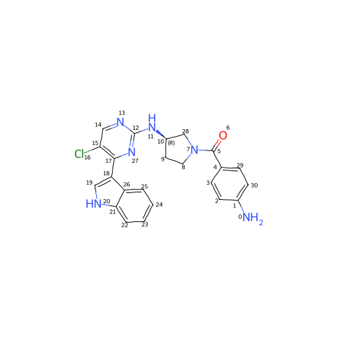 Nc1ccc(C(=O)N2CC[C@@H](Nc3ncc(Cl)c(-c4c[nH]c5ccccc45)n3)C2)cc1